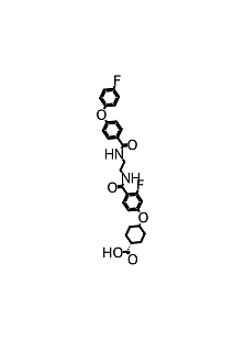 O=C(NCCNC(=O)c1ccc(O[C@H]2CC[C@@H](C(=O)O)CC2)cc1F)c1ccc(Oc2ccc(F)cc2)cc1